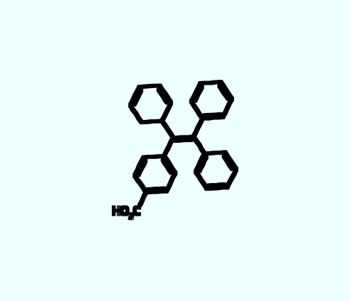 O=C(O)c1ccc(C(=C(c2ccccc2)c2ccccc2)C2C=CC=CC2)cc1